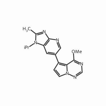 COc1ncnn2ccc(-c3cnc4nc(C)n(C(C)C)c4c3)c12